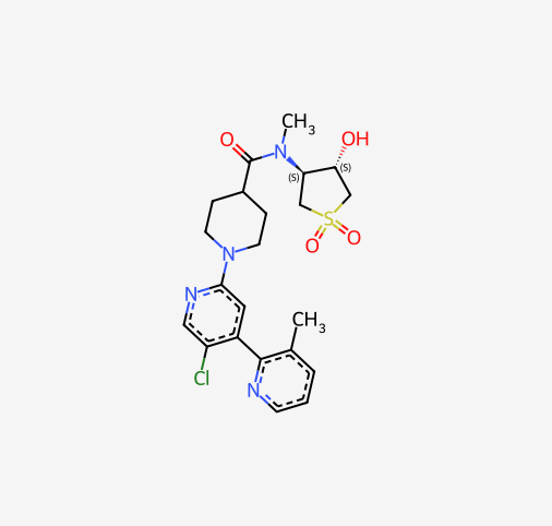 Cc1cccnc1-c1cc(N2CCC(C(=O)N(C)[C@@H]3CS(=O)(=O)C[C@H]3O)CC2)ncc1Cl